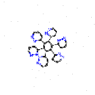 c1cnnc(-c2c(-c3cccnn3)c(-c3cccnn3)c(-c3cccnn3)c(-c3cccnn3)c2-c2cccnn2)c1